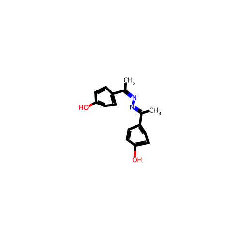 CC(=NN=C(C)c1ccc(O)cc1)c1ccc(O)cc1